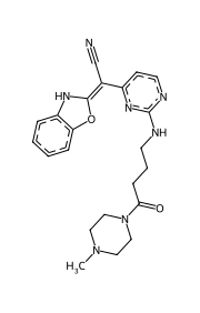 CN1CCN(C(=O)CCCNc2nccc(C(C#N)=C3Nc4ccccc4O3)n2)CC1